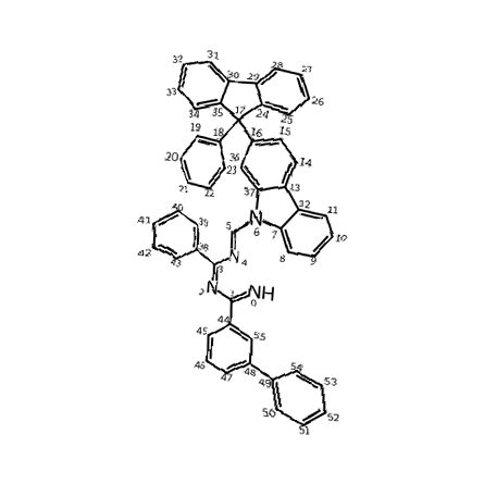 N=C(/N=C(\N=C\n1c2ccccc2c2ccc(C3(c4ccccc4)c4ccccc4-c4ccccc43)cc21)c1ccccc1)c1cccc(-c2ccccc2)c1